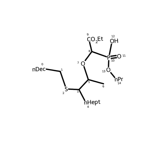 CCCCCCCCCCCSC(CCCCCCC)C(C)OC(C(=O)OCC)P(=O)(O)OCCC